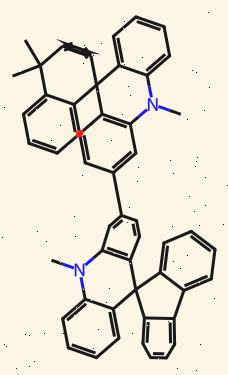 CN1c2ccccc2C2(c3ccccc3-c3ccccc32)c2ccc(-c3ccc4c(c3)N(C)c3ccccc3C43c4ccccc4C(C)(C)c4ccccc43)cc21